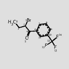 CCC(Br)C(=O)c1cccc(C(F)(F)F)c1